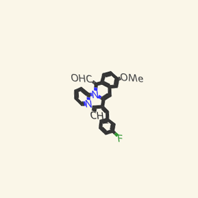 C=CC(=Cc1cccc(F)c1)C1=Cc2cc(OC)ccc2C(C=O)N1c1ccccn1